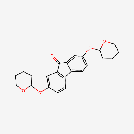 O=C1c2cc(OC3CCCCO3)ccc2-c2ccc(OC3CCCCO3)cc21